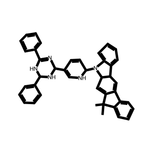 CC1(C)C2=CC3C(C=C2c2ccccc21)c1ccccc1N3C1C=CC(C2N=C(c3ccccc3)NC(c3ccccc3)N2)=CN1